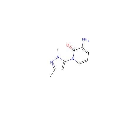 Cc1cc(-n2cccc(N)c2=O)n(C)n1